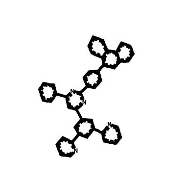 c1ccc(-c2cc(-c3cc(-c4ccccn4)cc(-c4ccccn4)c3)nc(-c3ccc(-c4cc5ccccc5c5ccccc45)cc3)n2)cc1